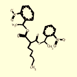 CCCCCC(C(=O)OC(C)c1ccccc1[N+](=O)[O-])C(=O)OC(C)c1ccccc1[N+](=O)[O-]